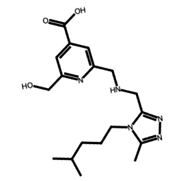 Cc1nnc(CNCc2cc(C(=O)O)cc(CO)n2)n1CCCC(C)C